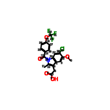 COc1cc2c(CC(=O)O)c(C)n(C(=O)c3ccc(OC(F)(F)F)cc3)c2cc1Cl